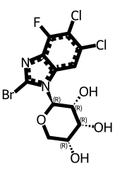 O[C@@H]1[C@H](O)[C@H](O)CO[C@H]1n1c(Br)nc2c(F)c(Cl)c(Cl)cc21